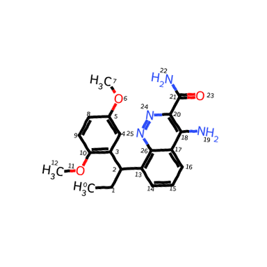 CCC(c1cc(OC)ccc1OC)c1cccc2c(N)c(C(N)=O)nnc12